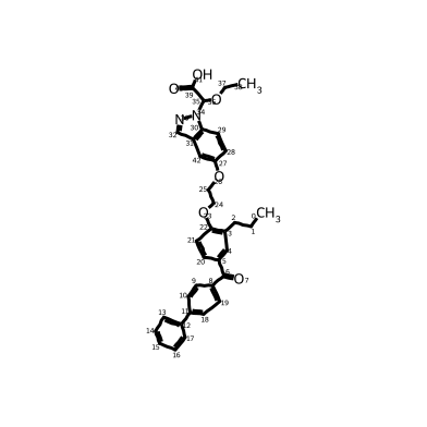 CCCc1cc(C(=O)c2ccc(-c3ccccc3)cc2)ccc1OCCOc1ccc2c(cnn2C(OCC)C(=O)O)c1